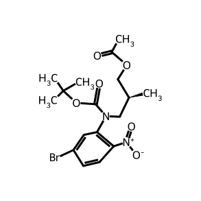 CC(=O)OC[C@@H](C)CN(C(=O)OC(C)(C)C)c1cc(Br)ccc1[N+](=O)[O-]